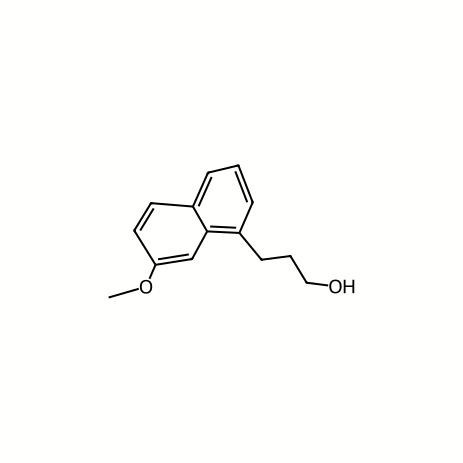 COc1ccc2cccc(CCCO)c2c1